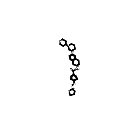 O=C(N[C@H]1CCc2cc([C@@H]3CCCN(C4CCOCC4)C3)ccc2C1)c1ccc(OC[C@@H]2CCCO2)cc1